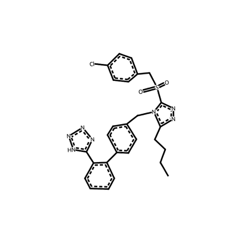 CCCCc1nnc(S(=O)(=O)Cc2ccc(Cl)cc2)n1Cc1ccc(-c2ccccc2-c2nnn[nH]2)cc1